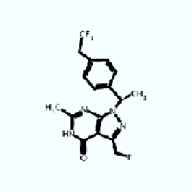 Cc1nc2c(c(CF)nn2[C@H](C)c2ccc(CC(F)(F)F)cc2)c(=O)[nH]1